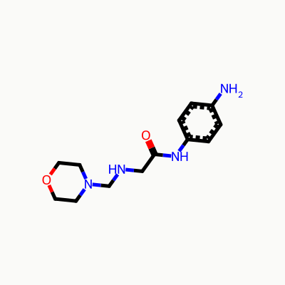 Nc1ccc(NC(=O)CNCN2CCOCC2)cc1